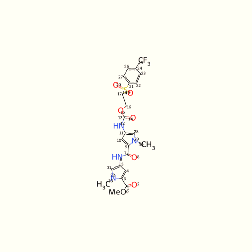 COC(=O)c1cc(NC(=O)c2cc(NC(=O)OCCS(=O)(=O)c3ccc(C(F)(F)F)cc3)cn2C)cn1C